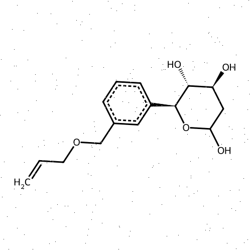 C=CCOCc1cccc([C@@H]2OC(O)C[C@H](O)[C@H]2O)c1